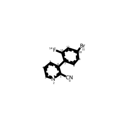 N#Cc1ncccc1-c1ccc(Br)cc1F